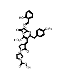 COc1ccc(CC2SC3[C@H](N=Cc4ccccc4O)C(=O)N3C(C(=O)O)=C2C=C2CCN([C@@H]3CCN(C(=O)OC(C)(C)C)C3)C2=O)cc1